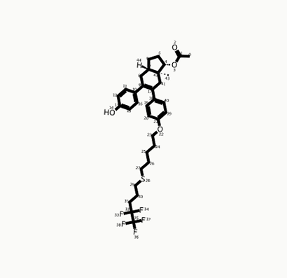 CC(=O)O[C@H]1CC[C@H]2CC(c3ccc(O)cc3)=C(c3ccc(OCCCCCSCCCC(F)(F)C(F)(F)F)cc3)C[C@@]21C